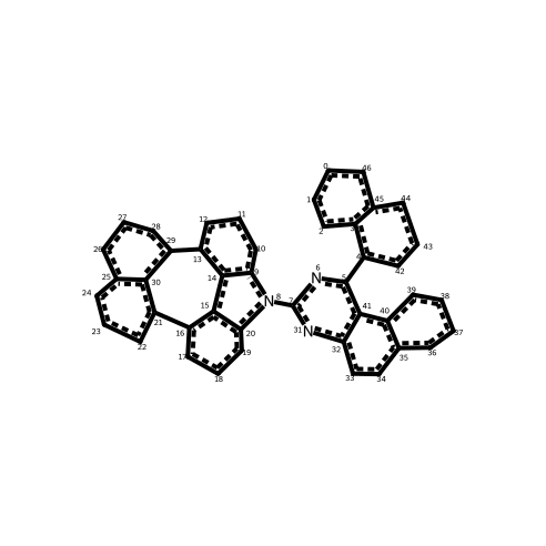 c1ccc2c(-c3nc(-n4c5cccc6c5c5c(cccc54)-c4cccc5cccc-6c45)nc4ccc5ccccc5c34)cccc2c1